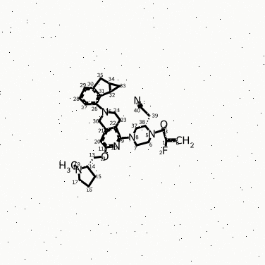 C=C(F)C(=O)N1CCN(c2nc(OC[C@@H]3CCCN3C)cc3c2CCN(c2cccc4c2C2CC2C4)C3)C[C@@H]1CC#N